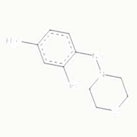 Cc1ccc(NN2CCOCC2)c(C(C)C)c1